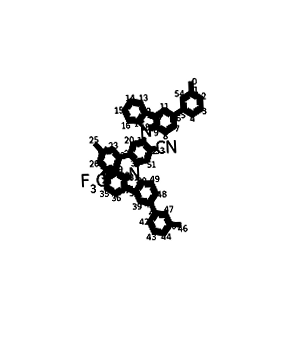 Cc1cccc(-c2ccc3c(c2)c2ccccc2n3-c2cc(-c3cc(C)cc(C(F)(F)F)c3)c(-n3c4ccccc4c4cc(-c5cccc(C)c5)ccc43)cc2C#N)c1